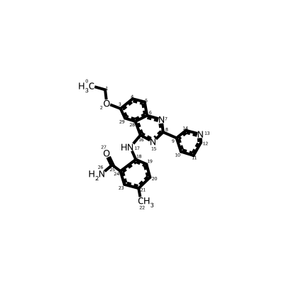 CCOc1ccc2nc(-c3cccnc3)nc(Nc3ccc(C)cc3C(N)=O)c2c1